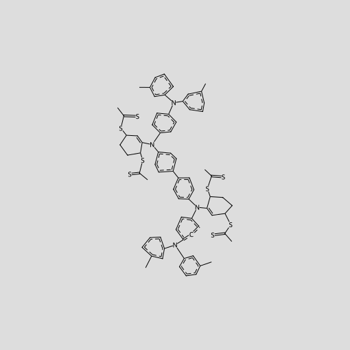 CC(=S)SC1C=C(N(c2ccc(-c3ccc(N(C4=CC(SC(C)=S)CCC4SC(C)=S)c4ccc(N(c5cccc(C)c5)c5cccc(C)c5)cc4)cc3)cc2)c2ccc(N(c3cccc(C)c3)c3cccc(C)c3)cc2)C(SC(C)=S)CC1